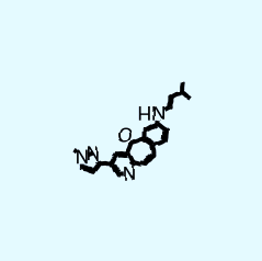 CC(C)CCNc1ccc2ccc3ncc(-c4ccn(C)n4)cc3c(=O)c2c1